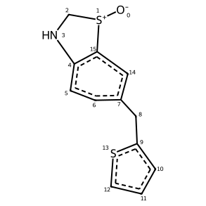 [O-][S+]1CNc2ccc(Cc3cccs3)cc21